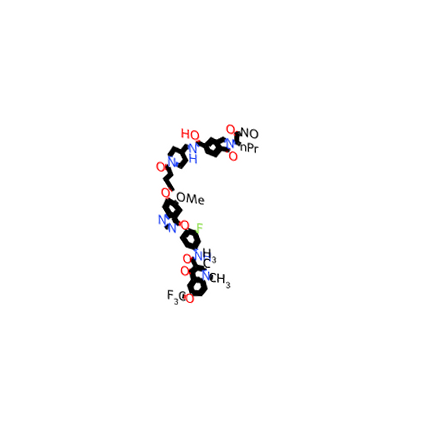 CCCC(C(=O)N=O)N1Cc2cc(C(O)NCC3CCN(C(=O)CCCOc4cc5ncnc(Oc6ccc(NC(=O)c7c(C)n(C)c8ccc(OC(F)(F)F)cc8c7=O)cc6F)c5cc4OC)CC3)ccc2C1=O